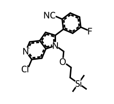 C[Si](C)(C)CCOCn1c(-c2cc(F)ccc2C#N)cc2cnc(Cl)cc21